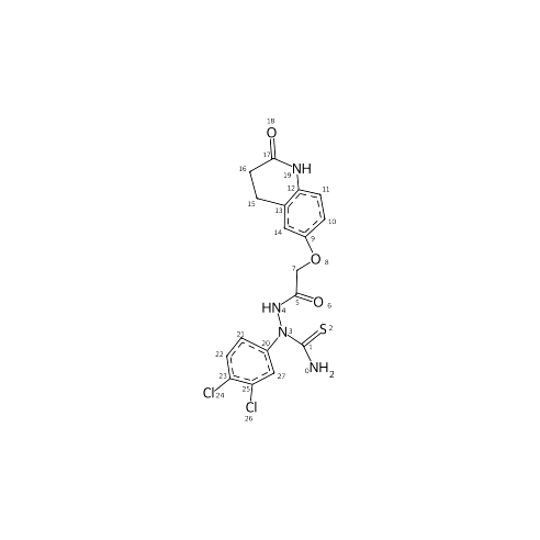 NC(=S)N(NC(=O)COc1ccc2c(c1)CCC(=O)N2)c1ccc(Cl)c(Cl)c1